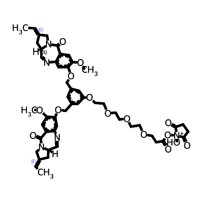 C/C=C1\C[C@H]2C=Nc3cc(OCc4cc(COc5cc6c(cc5OC)C(=O)N5C/C(=C/C)C[C@H]5C=N6)cc(OCCOCCOCCOCCC(=O)O[N+]5(O)C(=O)CCC5=O)c4)c(OC)cc3C(=O)N2C1